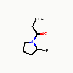 CC(=O)NCC(=O)N1CCCC1C(C)C